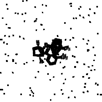 Cc1cccc(C(=O)N2[C@@H]3CC[C@H]2[C@H](Oc2cnc(C(F)(F)F)cn2)C3)c1-c1ncco1